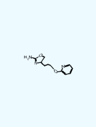 NC1=NC(CCOc2ccccn2)CO1